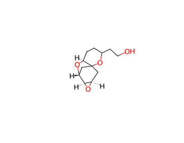 OCCC1CC[C@@H]2O[C@@H]3CC2(C[C@H]2O[C@H]23)O1